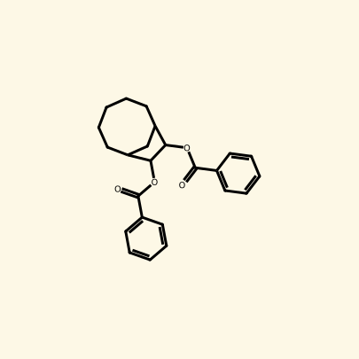 O=C(OC1C2CCCCCC(C2)C1OC(=O)c1ccccc1)c1ccccc1